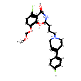 COCOc1ccc(F)c2c1OC(CCCN1CC=C(c3ccc(F)cc3)CC1)NC2=O